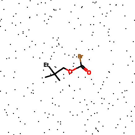 CCC(C)(C)COC(=O)Br